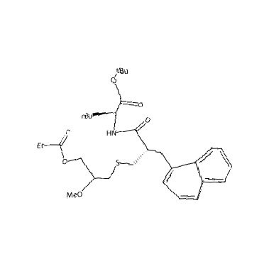 CCCC[C@H](NC(=O)[C@@H](CSCC(COC(=O)CC)OC)Cc1cccc2ccccc12)C(=O)OC(C)(C)C